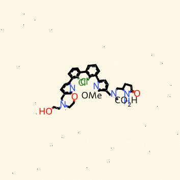 COc1nc(-c2cccc(-c3cccc(-c4ccc5c(n4)OCCN(CCO)C5)c3Cl)c2Cl)ccc1CN(CC1CCC(=O)N1)C(=O)O